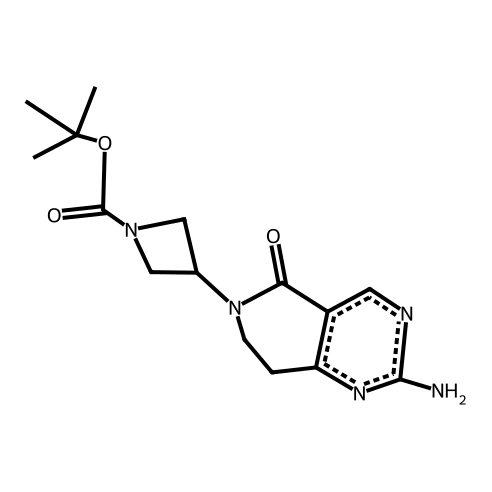 CC(C)(C)OC(=O)N1CC(N2CCc3nc(N)ncc3C2=O)C1